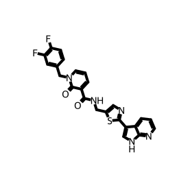 O=C(NCc1cnc(-c2c[nH]c3ncccc23)s1)c1cccn(Cc2ccc(F)c(F)c2)c1=O